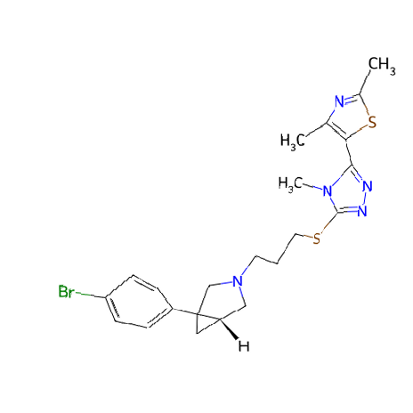 Cc1nc(C)c(-c2nnc(SCCCN3C[C@@H]4CC4(c4ccc(Br)cc4)C3)n2C)s1